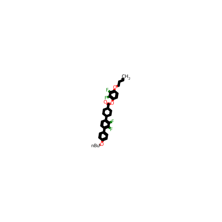 C=CCCOc1ccc(OC(=O)C2CCC(c3ccc(-c4ccc(OCCCC)cc4)c(F)c3F)CC2)c(F)c1F